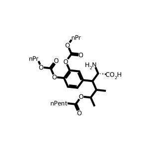 CCCCCC(=O)OC(C)C(C)C(c1ccc(OC(=O)OCCC)c(OC(=O)OCCC)c1)[C@H](N)C(=O)O